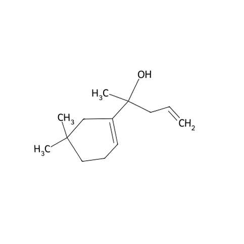 C=CCC(C)(O)C1=CCCC(C)(C)C1